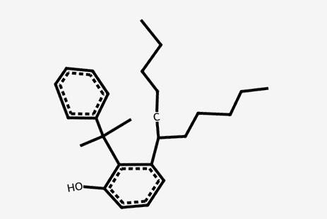 CCCCCC(CCCCC)c1cccc(O)c1C(C)(C)c1ccccc1